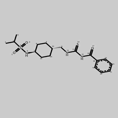 CC(C)S(=O)(=O)N[C@H]1CC[C@H](CNC(=S)NC(=O)c2ccccc2)CC1